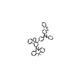 CC1(C)c2ccccc2N(c2cc(-c3ccc(N(c4ccccc4)c4ccc5c(c4)sc4ccccc45)cc3)c3oc4ccccc4c3c2)c2ccccc21